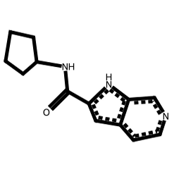 O=C(NC1CCCC1)c1cc2ccncc2[nH]1